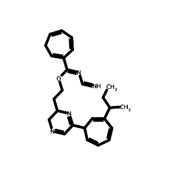 CCC(C)C1=CC(C2=NC(CCO/C(=N\C=N)C3=CCC=CC=C3)CN=C2)C=CC=C1